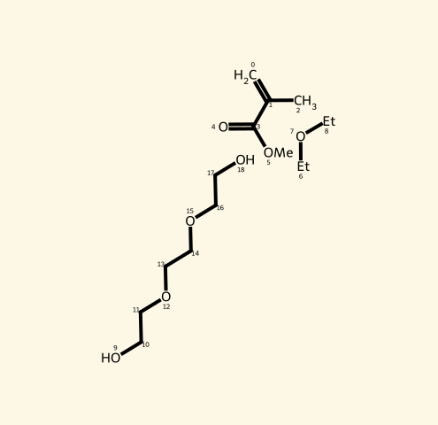 C=C(C)C(=O)OC.CCOCC.OCCOCCOCCO